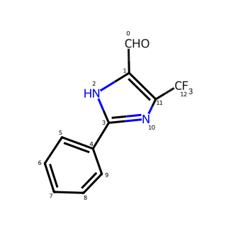 O=Cc1[nH]c(-c2ccccc2)nc1C(F)(F)F